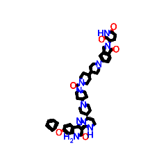 NC(=O)c1c(-c2ccc(Oc3ccccc3)cc2)nn2c1NCC[C@H]2C1CCN(C2CCN(C(=O)N3CCC(C4CCN(c5ccc6c(c5)CN(C5CCC(=O)NC5=O)C6=O)CC4)CC3)CC2)CC1